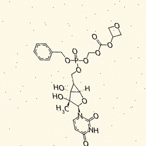 C[C@]1(O)[C@H](n2ccc(=O)[nH]c2=O)O[C@@H]2C(COP(=O)(OCOC(=O)OC3COC3)OCc3ccccc3)[C@@]21O